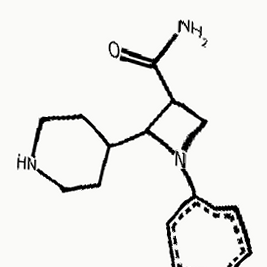 NC(=O)C1CN(c2ccccc2)C1C1CCNCC1